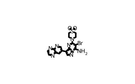 Nc1c(Br)c(N2CCS(=O)(=O)CC2)nc2c(-c3cnc4nccnc4c3)cnn12